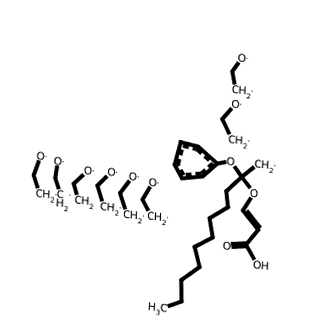 [CH2]C(CCCCCCCCC)(OC=CC(=O)O)Oc1ccccc1.[CH2]C[O].[CH2]C[O].[CH2]C[O].[CH2]C[O].[CH2]C[O].[CH2]C[O].[CH2]C[O].[CH2]C[O]